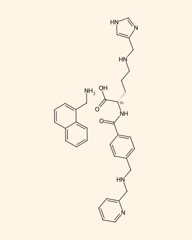 NCc1cccc2ccccc12.O=C(N[C@@H](CCCNCc1c[nH]cn1)C(=O)O)c1ccc(CNCc2ccccn2)cc1